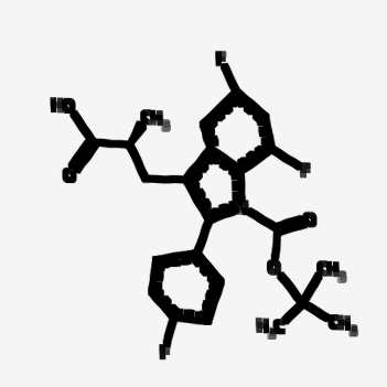 C[C@@H](Cc1c(-c2ccc(F)cc2)n(C(=O)OC(C)(C)C)c2c(F)cc(F)cc12)C(=O)O